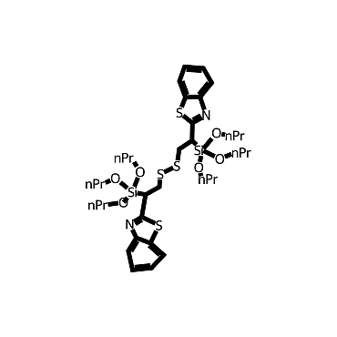 CCCO[Si](OCCC)(OCCC)C(CSSCC(c1nc2ccccc2s1)[Si](OCCC)(OCCC)OCCC)c1nc2ccccc2s1